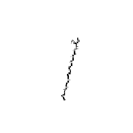 C=CCCCCCCCCCCCCCCOC(=O)C=C